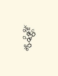 CC(C)(C)NC(=O)c1cc(-c2ccc(-c3cccc(S(C)(=O)=O)c3)cc2Cl)n(-c2c(Cl)cccc2Cl)n1